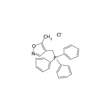 Cc1oncc1C[P+](c1ccccc1)(c1ccccc1)c1ccccc1.[Cl-]